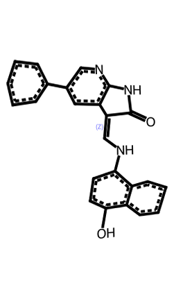 O=C1Nc2ncc(-c3ccccc3)cc2/C1=C/Nc1ccc(O)c2ccccc12